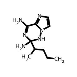 CCCC(C)C1(N)N=C(N)c2nccn2N1